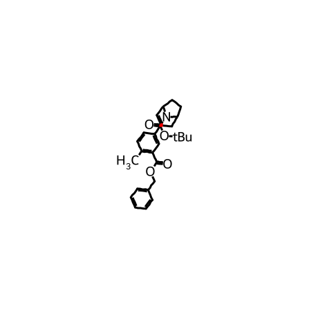 Cc1ccc(C2=CC3CCC(C2)N3C(=O)OC(C)(C)C)cc1C(=O)OCc1ccccc1